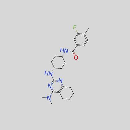 Cc1ccc(C(=O)N[C@H]2CC[C@@H](Nc3nc4c(c(N(C)C)n3)CCCC4)CC2)cc1F